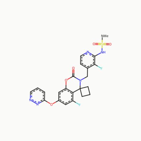 CNS(=O)(=O)Nc1nccc(CN2C(=O)Oc3cc(Oc4cccnn4)cc(F)c3C23CCC3)c1F